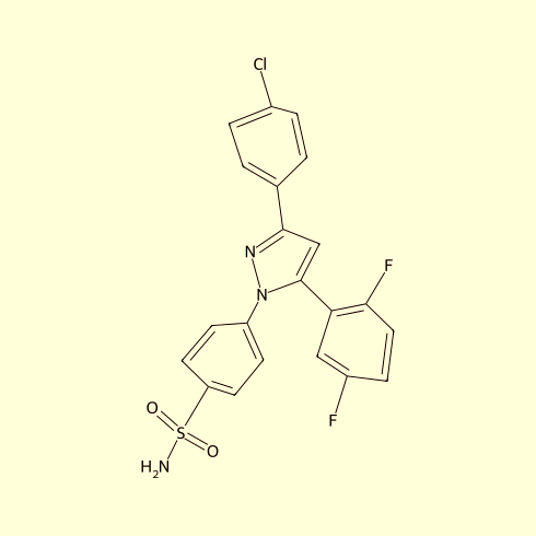 NS(=O)(=O)c1ccc(-n2nc(-c3ccc(Cl)cc3)cc2-c2cc(F)ccc2F)cc1